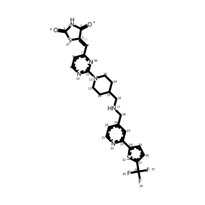 O=C1NC(=O)/C(=C/c2ccnc(N3CCC(CNCc4ccnc(-c5ccc(C(F)(F)F)s5)c4)CC3)n2)S1